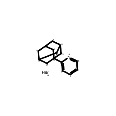 Br.c1ccc(C23CC4CC(CC(C4)C2)C3)nc1